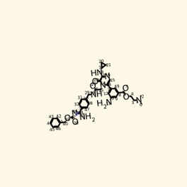 CN(C)CCOC(=O)c1cc(N)cc(-c2cnc(NC3CC3)c(=O)n2CC(=O)NCc2ccc(/C(N)=N/C(=O)OCc3ccccc3)cc2)c1